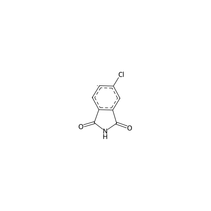 O=C1NC(=O)c2cc(Cl)[c]cc21